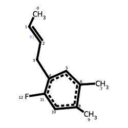 C/C=C/Cc1cc(C)c(C)cc1F